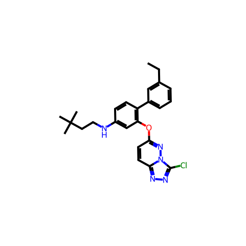 CCc1cccc(-c2ccc(NCCC(C)(C)C)cc2Oc2ccc3nnc(Cl)n3n2)c1